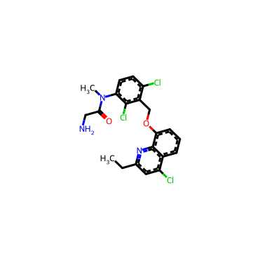 CCc1cc(Cl)c2cccc(OCc3c(Cl)ccc(N(C)C(=O)CN)c3Cl)c2n1